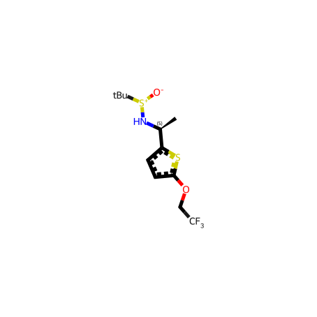 C[C@H](N[S+]([O-])C(C)(C)C)c1ccc(OCC(F)(F)F)s1